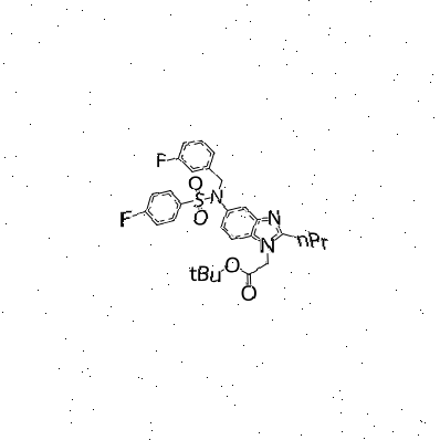 CCCc1nc2cc(N(Cc3cccc(F)c3)S(=O)(=O)c3ccc(F)cc3)ccc2n1CC(=O)OC(C)(C)C